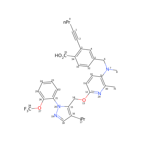 CCCC#Cc1cc(CN(C)c2ccc(OCc3c(C(C)C)cnn3-c3ccccc3OC(F)(F)F)nc2C)ccc1C(=O)O